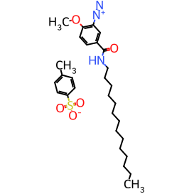 CCCCCCCCCCCCCCNC(=O)c1ccc(OC)c([N+]#N)c1.Cc1ccc(S(=O)(=O)[O-])cc1